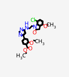 CCOC(=O)c1ccc(-c2cc(NCCN3C(=O)Cc4c(OC)ccc(Cl)c43)ncn2)cc1OCC